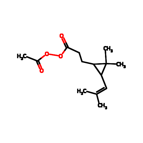 CC(=O)OOC(=O)CCC1C(C=C(C)C)C1(C)C